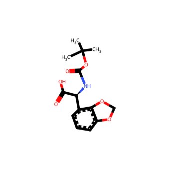 CC(C)(C)OC(=O)N[C@H](C(=O)O)c1cccc2c1OCO2